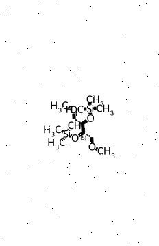 COC[C@H](O[Si](C)(C)C)[C@H](COC)O[Si](C)(C)C